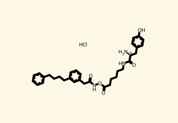 Cl.N[C@@H](Cc1ccc(O)cc1)C(=O)NCCCCCC(=O)ONC(=O)Cc1cccc(CCCCc2ccccc2)c1